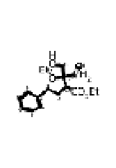 CCOC(=O)C(CCc1ccccc1)C(CO)(OCC)[PH2]=O